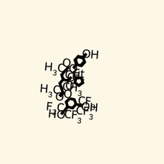 CCC1(OC(=O)C(CC(C)(C)C(=O)Oc2ccc(O)cc2)CC(C)(C)C(=O)OC2CC(C(O)(C(F)(F)F)C(F)(F)F)CC(C(O)(C(F)(F)F)C(F)(F)F)C2)CCCC1